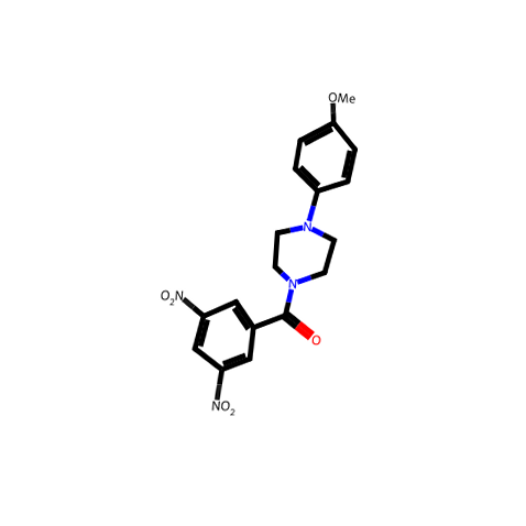 COc1ccc(N2CCN(C(=O)c3cc([N+](=O)[O-])cc([N+](=O)[O-])c3)CC2)cc1